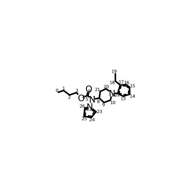 CCCCOC(=O)N(C1CCN(c2ccccc2CC)CC1)n1cccc1